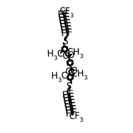 Cc1cc(CSCCC(F)(F)C(F)(F)C(F)(F)C(F)(F)C(F)(F)C(F)(F)C(F)(F)C(F)(F)F)cc(C)c1OC(=O)c1ccc(C(=O)Oc2c(C)cc(CSCCC(F)(F)C(F)(F)C(F)(F)C(F)(F)C(F)(F)C(F)(F)C(F)(F)C(F)(F)F)cc2C)cc1